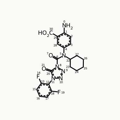 Nc1ccc(N(C(=O)n2nnn(-c3c(F)cccc3F)c2=O)C2CCCCC2)cc1C(=O)O